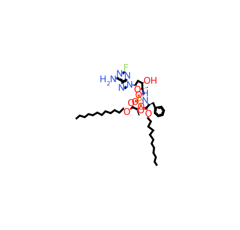 CCCCCCCCCCCCOC(=O)[C@H](Cc1ccccc1)NP(=O)(OC[C@@]1(C)O[C@@H](n2cnc3c(N)nc(F)nc32)C[C@@H]1O)O[C@@H](C)C(=O)OCCCCCCCCCCCC